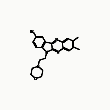 Cc1cc2nc3c4cc(Br)ccc4n(CCN4CCOCC4)c3nc2cc1C